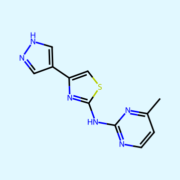 Cc1ccnc(Nc2nc(-c3cn[nH]c3)cs2)n1